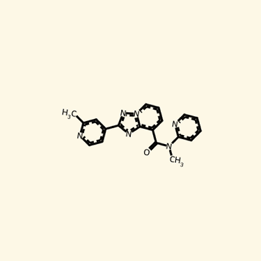 Cc1cc(-c2nc3c(C(=O)N(C)c4ccccn4)cccn3n2)ccn1